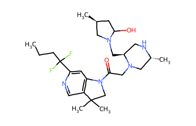 CCCC(F)(F)c1cc2c(cn1)C(C)(C)CN2C(=O)CN1C[C@@H](C)NC[C@@H]1CN1C[C@@H](C)CC1O